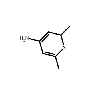 CC1=CC(N)=CC(C)S1